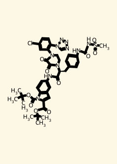 CC(C)(C)OC(=O)c1cc2cc(NC(=O)[C@H](Cc3ccc(NC(=O)NS(C)(=O)=O)cc3)N3CCN(c4cc(Cl)ccc4-n4cnnn4)C(=O)C3=O)ccc2n1C(=O)OC(C)(C)C